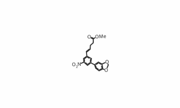 COC(=O)CCC=Cc1cc(-c2ccc3c(c2)OCO3)cc([N+](=O)[O-])c1